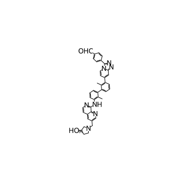 Cc1c(Nc2nccc3cc(CN4CC[C@@H](O)C4)cnc23)cccc1-c1cccc(-c2ccn3c(-c4ccc(C=O)cc4)nnc3c2)c1C